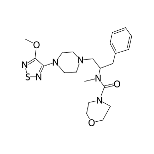 COc1nsnc1N1CCN(CC(Cc2ccccc2)N(C)C(=O)N2CCOCC2)CC1